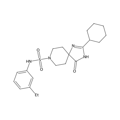 CCc1cccc(NS(=O)(=O)N2CCC3(CC2)N=C(C2CCCCC2)NC3=O)c1